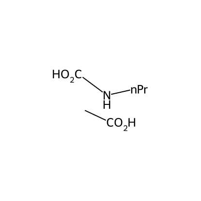 CC(=O)O.CCCNC(=O)O